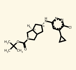 CC(C)(C)OC(=O)N1CC2C[C@@H](Nc3cc(C4CC4)c(Cl)nn3)C[C@@H]2C1